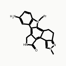 CC(C)n1c2ccc(N)cc2c2c3c(c4c(c21)CCc1nn(C)cc1-4)C(=O)NC3